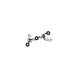 Cc1oc(-c2ccccc2)nc1COc1ccc(COc2nn(Cc3ccccc3)cc2CC(=O)O)cc1